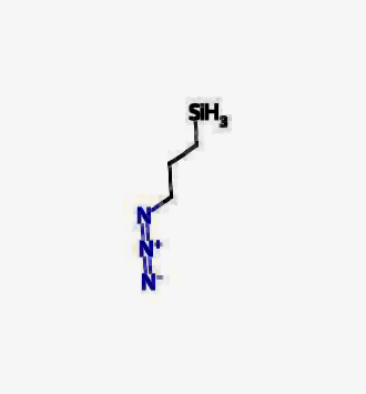 [N-]=[N+]=NCCC[SiH3]